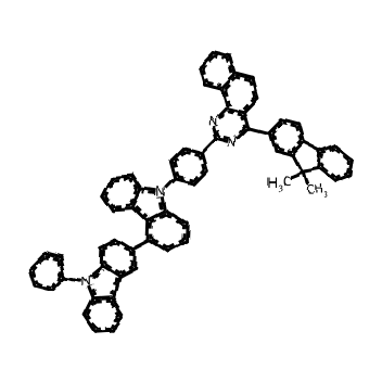 CC1(C)c2ccccc2-c2ccc(-c3nc(-c4ccc(-n5c6ccccc6c6c(-c7ccc8c(c7)c7ccccc7n8-c7ccccc7)cccc65)cc4)nc4c3ccc3ccccc34)cc21